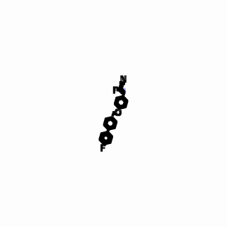 N#C/C(F)=C/[C@H]1CC[C@H](OC[C@H]2CC[C@H](c3ccc(F)cc3)CC2)CC1